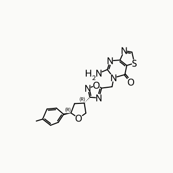 Cc1ccc([C@H]2C[C@H](c3noc(Cn4c(N)nc5ncsc5c4=O)n3)CO2)cc1